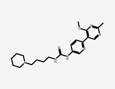 COc1nc(C)ncc1-c1ccc(NC(=O)NCCCCN2CCCCC2)cn1